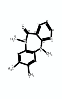 Cc1cc2c(cc1C)N(C)c1ncccc1C(=O)N2C